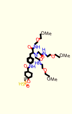 COCCOCCNC(=O)CN(CC(=O)NCCOCCOC)C(Cc1ccc(NC(=O)C2CCC(OP(=O)(S)C(C)C)CC2)cc1)C(=O)NCCOCCOC